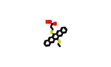 CCSc1c2cc3ccccc3cc2c(SCCC(=O)O)c2cc3ccccc3cc12